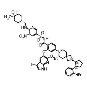 CCOc1nc2[nH]cc(F)c2cc1Oc1cc(N2CCC3(CC2)CN([C@H]2CCC[C@H]2c2ccccc2C(C)C)C3)ccc1C(=O)NS(=O)(=O)c1cnc(NC[C@H]2CC[C@](C)(O)CC2)c([N+](=O)[O-])c1